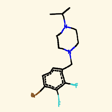 CC(C)N1CCN(Cc2ccc(Br)c(F)c2F)CC1